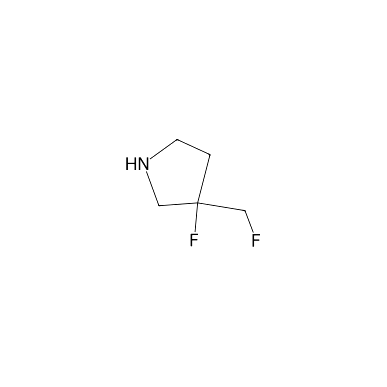 FCC1(F)CCNC1